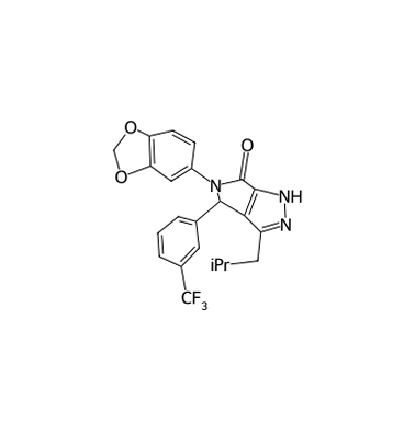 CC(C)Cc1n[nH]c2c1C(c1cccc(C(F)(F)F)c1)N(c1ccc3c(c1)OCO3)C2=O